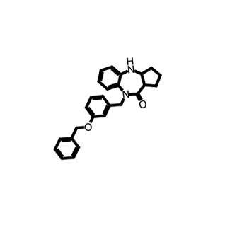 O=C1C2CCCC2Nc2ccccc2N1Cc1cccc(OCc2ccccc2)c1